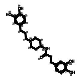 O=C(CCc1ccc(O)c(O)c1)NC1CCN(CCCc2ccc(O)c(O)c2)CC1